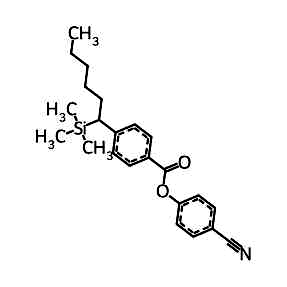 CCCCCC(c1ccc(C(=O)Oc2ccc(C#N)cc2)cc1)[Si](C)(C)C